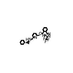 FC(F)(F)c1nnc2c3ccccc3c(OCc3cccc(CN[C@H]4C[C@@H]4c4ccccc4)n3)nn12